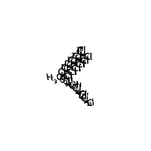 CO.ClCCl.ClCCl.ClCCl.ClCCl.ClCCl.ClCCl.ClCCl.ClCCl.ClCCl